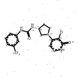 O=C(Nc1cccc(C(F)(F)F)c1)N[C@@H]1CCN(c2cn[nH]c(=O)c2Cl)C1